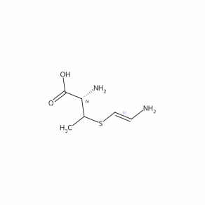 CC(S/C=C/N)[C@@H](N)C(=O)O